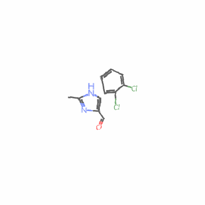 Cc1nc(C=O)c[nH]1.Clc1ccccc1Cl